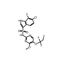 COc1nc(NS(=O)(=O)c2c[nH]c3c(F)c(Cl)ccc23)ncc1OC(F)(F)CF